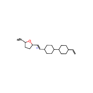 C=CC1CCC(C2CCC(/C=C/C3CCC(CCC)O3)CC2)CC1